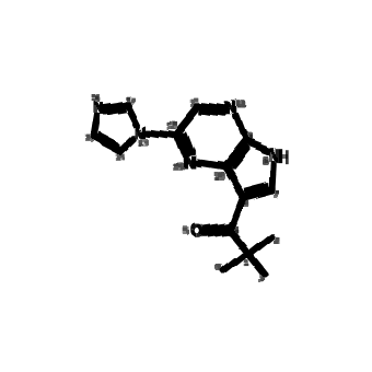 CC(C)(C)C(=O)c1c[nH]c2ncc(-n3ccnc3)nc12